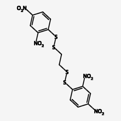 O=[N+]([O-])c1ccc(SSCCSSc2ccc([N+](=O)[O-])cc2[N+](=O)[O-])c([N+](=O)[O-])c1